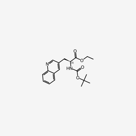 CCOC(=O)[C@H](Cc1cnc2ccccc2c1)NC(=O)OC(C)(C)C